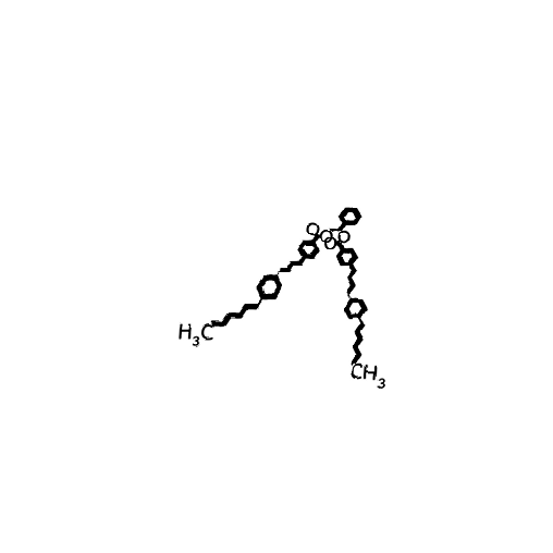 CCCCCCC[C@H]1CC[C@H](CCCCc2ccc(C(=O)OC[C@H](OC(=O)c3ccc(CCCC[C@H]4CC[C@H](CCCCCCC)CC4)cc3)c3ccccc3)cc2)CC1